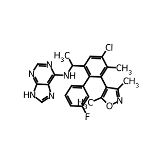 Cc1noc(C)c1-c1c(C)c(Cl)cc(C(C)Nc2ncnc3[nH]cnc23)c1-c1cccc(F)c1